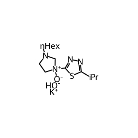 CCCCCCN1CC[N+]([O-])(c2nnc(C(C)C)s2)C1.[K+].[OH-]